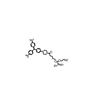 [C-]#[N+]CCOP(OCCCCC(=O)N1CCN(c2ccc(C(=C3C=CC(=[N+](C)C)C=C3)c3ccc(N(C)C)cc3)cc2)CC1)N(C(C)C)C(C)C